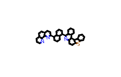 c1cnc2c(c1)ccc1ccc(-c3cccc4c(-c5nc6ccc7sc8ccccc8c7c6c6ccccc56)cccc34)nc12